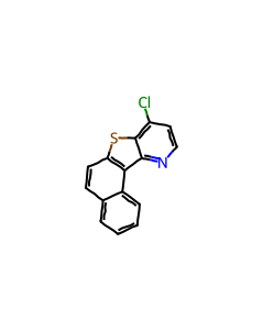 Clc1ccnc2c1sc1ccc3ccccc3c12